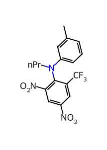 CCCN(c1cccc(C)c1)c1c([N+](=O)[O-])cc([N+](=O)[O-])cc1C(F)(F)F